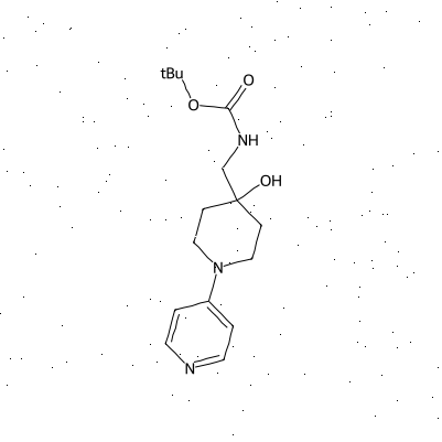 CC(C)(C)OC(=O)NCC1(O)CCN(c2ccncc2)CC1